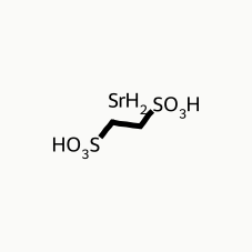 O=S(=O)(O)CCS(=O)(=O)O.[SrH2]